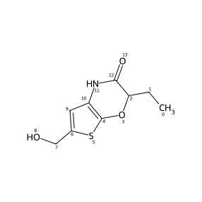 CCC1Oc2sc(CO)cc2NC1=O